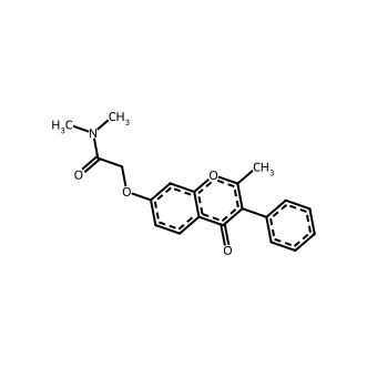 Cc1oc2cc(OCC(=O)N(C)C)ccc2c(=O)c1-c1ccccc1